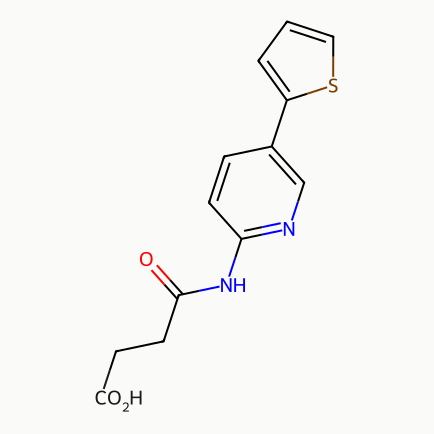 O=C(O)CCC(=O)Nc1ccc(-c2cccs2)cn1